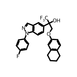 OC(COc1ccc2c(c1)CCCC2)(c1ccc2c(cnn2-c2ccc(F)cc2)c1)C(F)(F)F